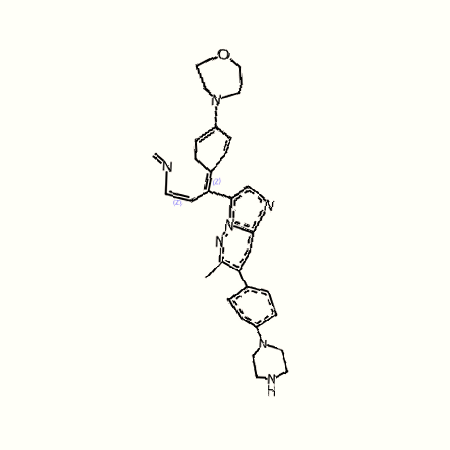 C=N/C=C\C(=C1\C=CC(N2CCOCC2)=CC1)c1cnc2cc(-c3ccc(N4CCNCC4)cc3)c(C)nn12